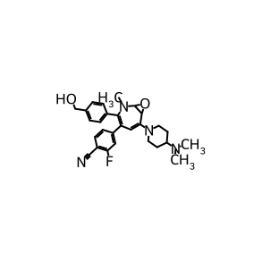 CN(C)C1CCN(C2=CC(c3ccc(C#N)c(F)c3)=C(c3ccc(CO)cc3)N(C)C3OC23)CC1